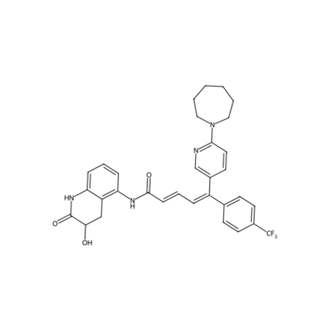 O=C(C=CC=C(c1ccc(C(F)(F)F)cc1)c1ccc(N2CCCCCC2)nc1)Nc1cccc2c1CC(O)C(=O)N2